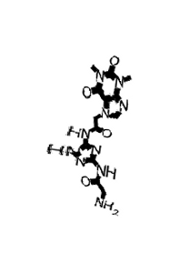 Cn1c(=O)c2c(ncn2CC(=O)Nc2nc(NC(=O)CN)n[nH]2)n(C)c1=O